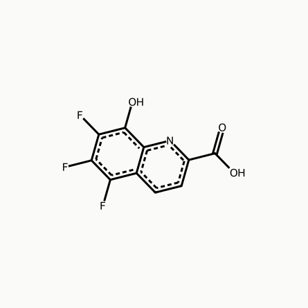 O=C(O)c1ccc2c(F)c(F)c(F)c(O)c2n1